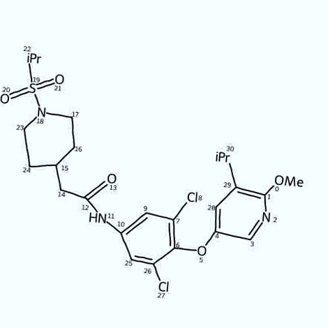 COc1ncc(Oc2c(Cl)cc(NC(=O)CC3CCN(S(=O)(=O)C(C)C)CC3)cc2Cl)cc1C(C)C